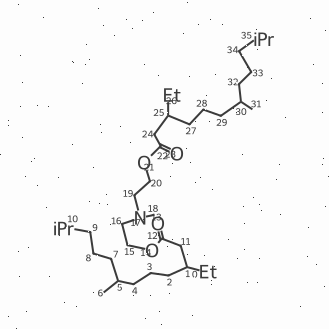 CCC(CCCC(C)CCCC(C)C)CC(=O)OCCN(C)CCOC(=O)CC(CC)CCCC(C)CCCC(C)C